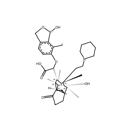 C[C@@H]1CC[C@@]23CCC(=O)[C@H]2[C@@]1(C)[C@H](C(Oc1ccc2c(c1F)B(O)OC2)C(=O)O)C[C@](C)(CCN1CCCCC1)[C@@H](O)[C@@H]3C